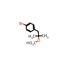 CC(C)(Cc1ccc(Br)cc1)OC(=O)O